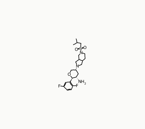 CC(C)CS(=O)(=O)N1CCC2CN([C@H]3CO[C@H](c4cc(F)ccc4F)[C@@H](N)C3)CC2C1